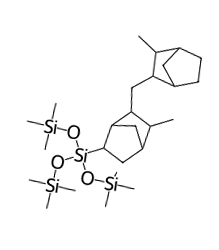 CC1C2CCC(C2)C1CC1C(C)C2CC1C([Si](O[Si](C)(C)C)(O[Si](C)(C)C)O[Si](C)(C)C)C2